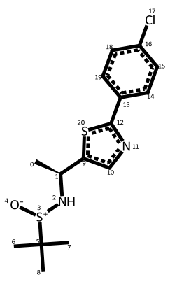 C[C@H](N[S+]([O-])C(C)(C)C)c1cnc(-c2ccc(Cl)cc2)s1